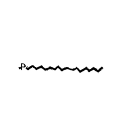 CCCCCCCCCCCCCCCCCC[P]C